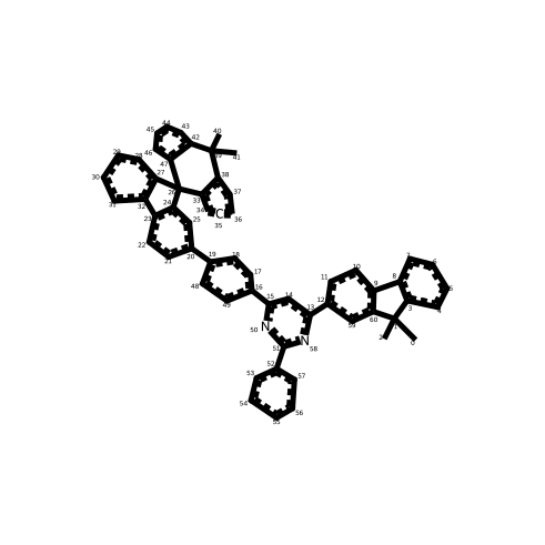 CC1(C)c2ccccc2-c2ccc(-c3cc(-c4ccc(-c5ccc6c(c5)C5(c7ccccc7-6)c6ccccc6C(C)(C)c6ccccc65)cc4)nc(-c4ccccc4)n3)cc21